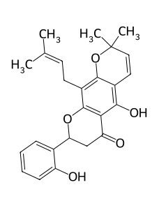 CC(C)=CCc1c2c(c(O)c3c1OC(c1ccccc1O)CC3=O)C=CC(C)(C)O2